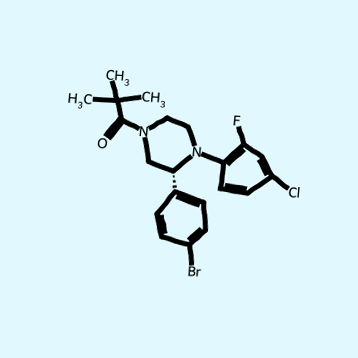 CC(C)(C)C(=O)N1CCN(c2ccc(Cl)cc2F)[C@H](c2ccc(Br)cc2)C1